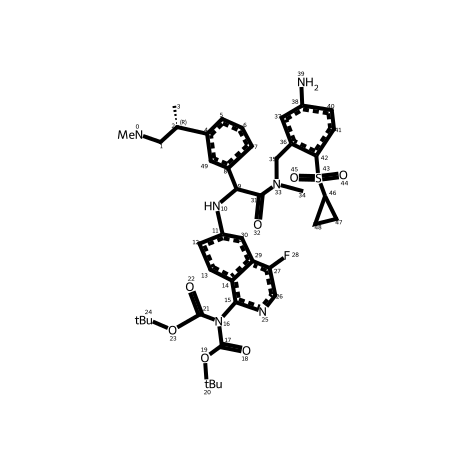 CNC[C@H](C)c1cccc(C(Nc2ccc3c(N(C(=O)OC(C)(C)C)C(=O)OC(C)(C)C)ncc(F)c3c2)C(=O)N(C)Cc2cc(N)ccc2S(=O)(=O)C2CC2)c1